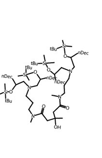 CCCCCCCCCCC(CN(CCCN(C)C(=O)CC(C)(O)CC(=O)N(C)CCCN(CC(CCCCCCCCCC)O[Si](C)(C)C(C)(C)C)CC(CCCCCCCCCC)O[Si](C)(C)C(C)(C)C)CC(CCCCCCCCCC)O[Si](C)(C)C(C)(C)C)O[Si](C)(C)C(C)(C)C